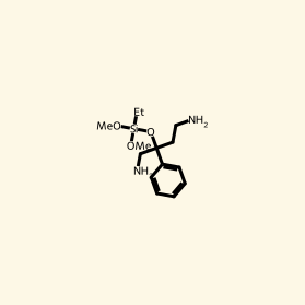 CC[Si](OC)(OC)OC(CN)(CCN)c1ccccc1